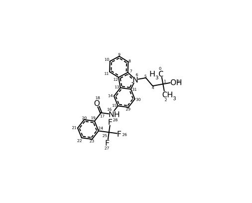 CC(C)(O)CCn1c2ccccc2c2cc(NC(=O)c3ccccc3C(F)(F)F)ccc21